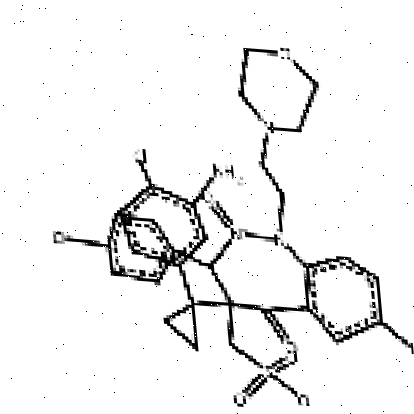 Nc1cc(C2(C3(CS(=O)(=O)[O-])C(=O)c4cc(I)ccc4N(CCN4CCOCC4)[N+](=O)C3c3ccc(Cl)cc3)CC2)ccc1Cl